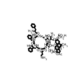 CC(=O)O.CC(=O)O[C@]1(C(C)=O)CC[C@H]2[C@@H]3C=C(C)C4=CC(=O)CC[C@]4(C)[C@H]3CC[C@@]21C.CC(O)[C@@H]1NC(=O)[C@H](CCCCN)NC(=O)[C@@H](Cc2c[nH]c3ccccc23)NC(=O)[C@H](Cc2ccccc2)NC(=O)[C@@H](NC(=O)[C@H](N)Cc2ccccc2)CSSC[C@@H](C(=O)N[C@H](CO)[C@@H](C)O)NC1=O